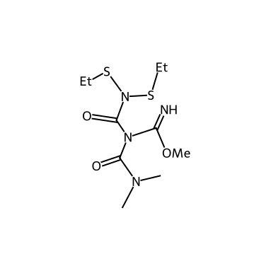 CCSN(SCC)C(=O)N(C(=N)OC)C(=O)N(C)C